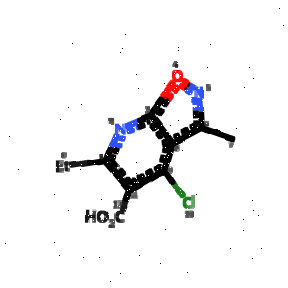 CCc1nc2onc(C)c2c(Cl)c1C(=O)O